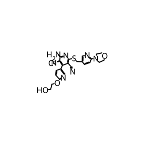 [C-]#[N+]c1c(N)nc(SCc2ccc(N3CCOCC3)nc2)c(C#N)c1-c1ccc(OCCO)nc1